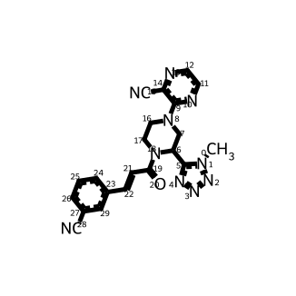 Cn1nnnc1C1CN(c2nccnc2C#N)CCN1C(=O)/C=C/c1cccc(C#N)c1